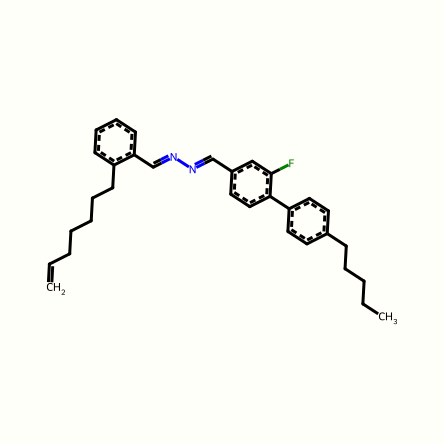 C=CCCCCCc1ccccc1C=NN=Cc1ccc(-c2ccc(CCCCC)cc2)c(F)c1